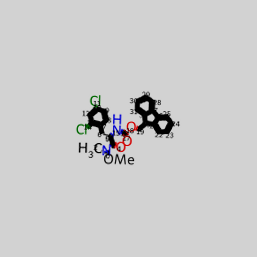 CON(C)C(=O)[C@H](Cc1ccc(Cl)cc1Cl)NC(=O)OCC1c2ccccc2-c2ccccc21